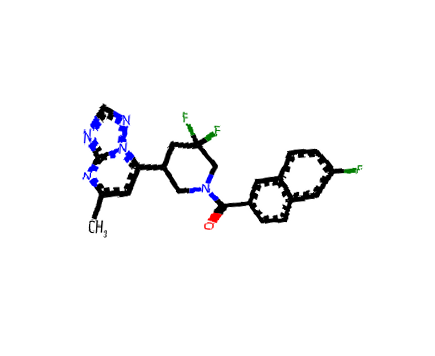 Cc1cc(C2CN(C(=O)c3ccc4cc(F)ccc4c3)CC(F)(F)C2)n2ncnc2n1